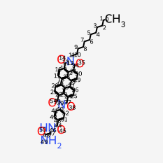 CCCCCCCCCCCCN1C(=O)c2ccc3c4ccc5c6c(ccc(c7ccc(c2c37)C1=O)c64)C(=O)N(c1ccc(C(=O)NCC(N)=O)cc1)C5=O